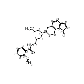 CCCN(CCCNC(=O)c1ccccc1OC)[C@@H]1CCc2c(ccc3c2C(=O)C=C3)C1